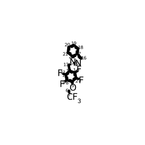 Fc1c(F)c(OCC(F)(F)F)c(F)c(F)c1Cn1ncc2ccccc21